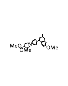 COc1ccc2c(c1)CC(C)C=C2c1ccc(N2CCC(C(OC)OC)CC2)cc1